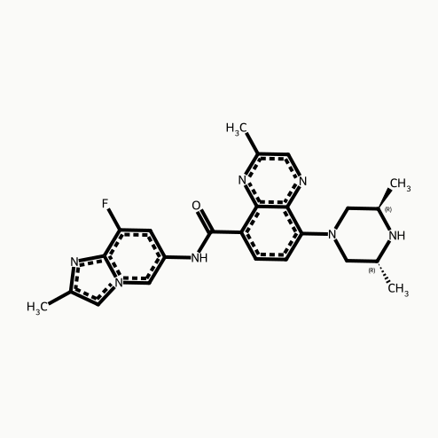 Cc1cnc2c(N3C[C@@H](C)N[C@H](C)C3)ccc(C(=O)Nc3cc(F)c4nc(C)cn4c3)c2n1